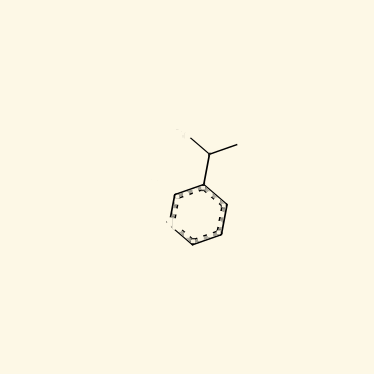 Br.CC(Br)c1cccnc1